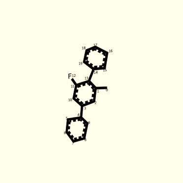 Cc1cc(-c2ccccc2)cc(F)c1-c1ccccc1